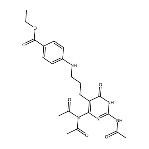 CCOC(=O)c1ccc(NCCCc2c(N(C(C)=O)C(C)=O)nc(NC(C)=O)[nH]c2=O)cc1